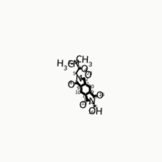 CN(C)C(=O)Cn1c(=O)c2cc3c(=O)n(CO)c(=O)c3cc2c1=O